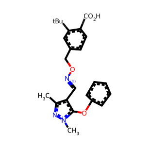 Cc1nn(C)c(Oc2ccccc2)c1/C=N/OCc1ccc(C(=O)O)c(C(C)(C)C)c1